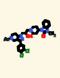 CC(=O)N1CCc2c(c(-c3ccc(Cl)c(Cl)c3)nn2CC(O)CN2CCC(n3c(=O)n(C)c4ccccc43)CC2)C1